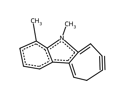 Cc1cccc2c3c(n(C)c12)=CC#CCC=3